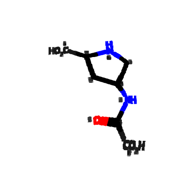 O=C(O)C(=O)NC1CNC(C(=O)O)C1